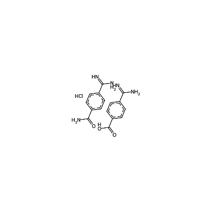 Cl.N=C(N)c1ccc(C(=O)O)cc1.N=C(N)c1ccc(C(N)=O)cc1